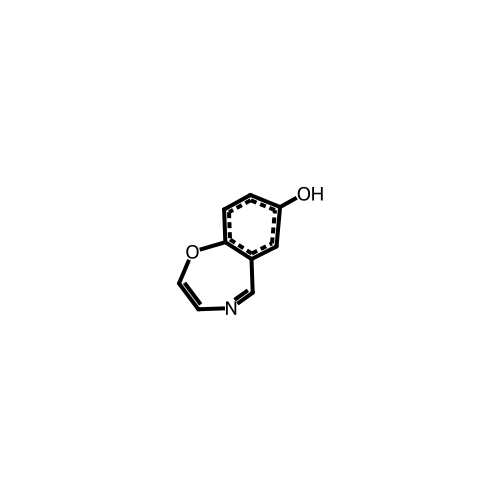 Oc1ccc2c(c1)C=NC=CO2